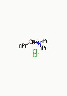 CCC[O][Ti+2][N](C(C)C)C(C)C.[Cl-].[Cl-]